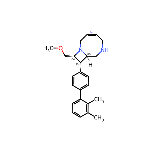 COC[C@@H]1[C@@H](c2ccc(-c3cccc(C)c3C)cc2)[C@@H]2CNC/C=C\CN12